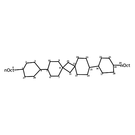 CCCCCCCCC1CCC(C2CCC3(CC2)CC2(CCC(C4CCC(CCCCCCCC)CC4)CC2)C3)CC1